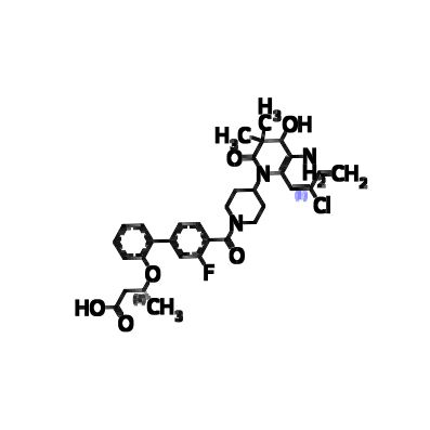 C=C/C(Cl)=C\C1=C(N)C(O)C(C)(C)C(=O)N1C1CCN(C(=O)c2ccc(-c3ccccc3O[C@H](C)CC(=O)O)cc2F)CC1